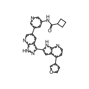 O=C(Nc1cncc(-c2cnc3[nH]nc(-c4cc5c(-c6ccoc6)ccnc5[nH]4)c3c2)c1)C1CCC1